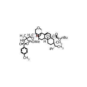 CCCCOC(=O)[C@@H]1[C@@](C)([C@H](C)C(C)C)CC[C@]2(C)[C@H]3CC[C@@H]4[C@@]5(COC[C@]4(C)[C@@H](OC[C@@](C)(NS(=O)(=O)c4ccc(C)cc4)C(C)C)[C@H](OC)C5)C3=CC[C@@]12C